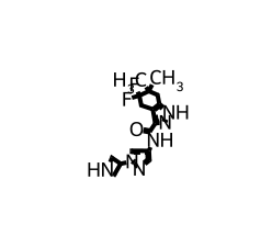 CC1(C)Cc2[nH]nc(C(=O)Nc3cnn(C4CNC4)c3)c2CC1(F)F